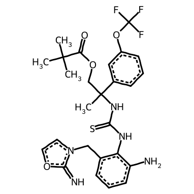 CC(C)(C)C(=O)OCC(C)(NC(=S)Nc1c(N)cccc1Cn1ccoc1=N)c1cccc(OC(F)(F)F)c1